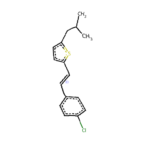 CC(C)Cc1ccc(/C=C/c2ccc(Cl)cc2)s1